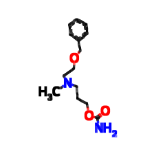 CN(CCCOC(N)=O)CCOCc1ccccc1